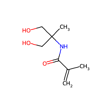 C=C(C)C(=O)NC(C)(CO)CO